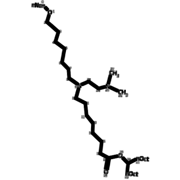 CCCCCCCCCOCCCCCCCN(CCCCCCCC(=O)OC(CCCCCCCC)CCCCCCCC)CCN(C)C